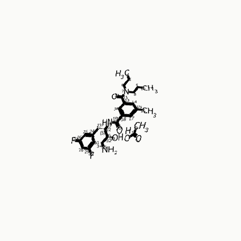 CC(=O)O.CCCN(CCC)C(=O)c1cc(C)cc(C(=O)N[C@@H](Cc2cc(F)cc(F)c2)[C@H](O)CN)c1